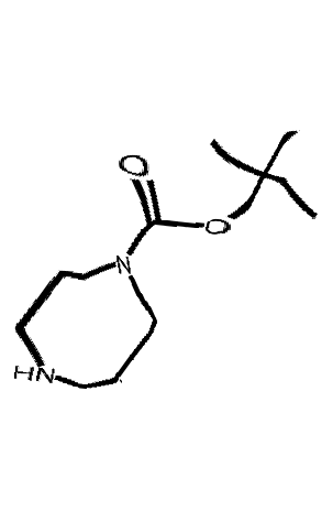 CC(C)(C)OC(=O)N1C[CH]NCC1